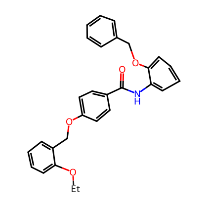 CCOc1ccccc1COc1ccc(C(=O)Nc2ccccc2OCc2ccccc2)cc1